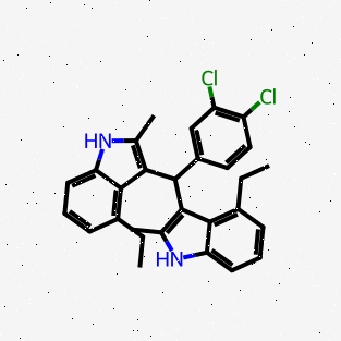 CCc1cccc2[nH]c(C)c(C(c3ccc(Cl)c(Cl)c3)c3c(C)[nH]c4cccc(CC)c34)c12